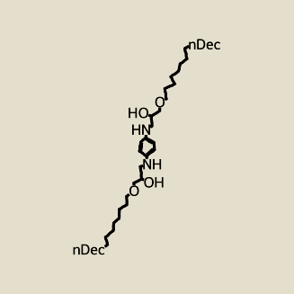 CCCCCCCCCCCCCCCCCCOCC(O)CNc1ccc(NCC(O)COCCCCCCCCCCCCCCCCCC)cc1